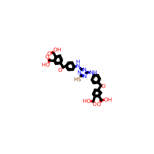 O=C(c1ccc(Nc2nc(S)nc(Nc3ccc(C(=O)c4ccc(C(=O)O)c(C(=O)O)c4)cc3)n2)cc1)c1ccc(C(=O)O)c(C(=O)O)c1